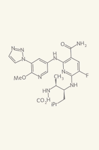 COc1ncc(Nc2nc(N[C@@H](CC(C)C)[C@H](C)NC(=O)O)c(F)cc2C(N)=O)cc1-n1ccnn1